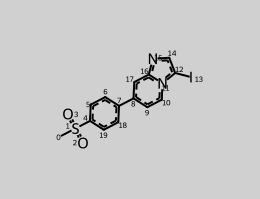 CS(=O)(=O)c1ccc(-c2ccn3c(I)cnc3c2)cc1